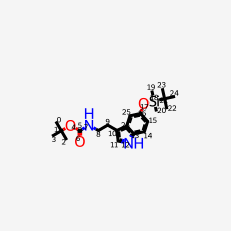 CC(C)(C)OC(=O)NCCc1c[nH]c2ccc(O[Si](C)(C)C(C)(C)C)cc12